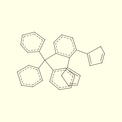 C1=CCC(c2cccc(C(c3ccccc3)(c3ccccc3)c3ccccc3)c2C2=CC=CC2)=C1